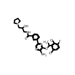 CC(Oc1nc(-c2cccc(C(=O)NCC(O)CN3CCCC3)c2)cnc1N)c1c(Cl)ccc(F)c1Cl